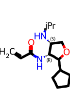 C=CC(=O)N[C@H]1C(C2CCCC2)OC[C@H]1NC(C)C